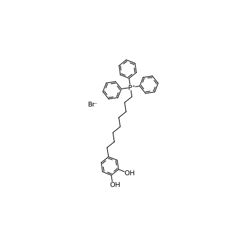 Oc1ccc(CCCCCCCC[P+](c2ccccc2)(c2ccccc2)c2ccccc2)cc1O.[Br-]